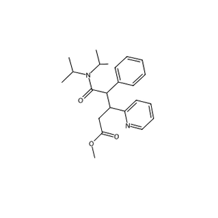 COC(=O)CC(c1ccccn1)C(C(=O)N(C(C)C)C(C)C)c1ccccc1